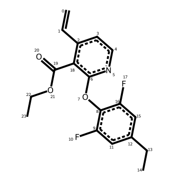 C=Cc1ccnc(Oc2c(F)cc(CC)cc2F)c1C(=O)OCC